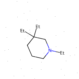 CCN1CCCC(CC)(CC)C1